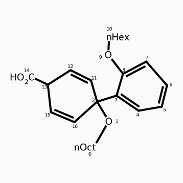 CCCCCCCCOC1(c2ccccc2OCCCCCC)C=CC(C(=O)O)C=C1